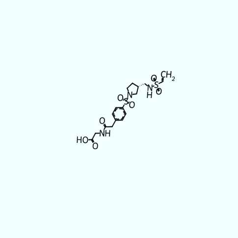 C=CS(=O)(=O)NC[C@H]1CCN(S(=O)(=O)c2ccc(CC(=O)NCC(=O)O)cc2)C1